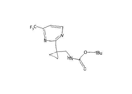 CC(C)(C)OC(=O)NCC1(c2nccc(C(F)(F)F)n2)CC1